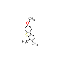 CCOC1CCC2SC3C(C)C(C)CCC3C2CC1